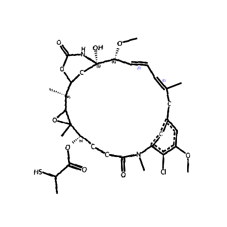 COc1cc2cc(c1Cl)N(C)C(=O)CC[C@H](OC(=O)C(C)S)C1(C)OC1[C@H](C)C1C[C@@](O)(NC(=O)O1)[C@H](OC)/C=C/C=C(\C)C2